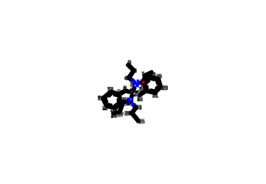 CCC[N](CCC)[Zr]([CH2]c1ccccc1)([CH2]c1ccccc1)[N](CCC)CCC